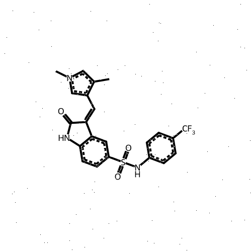 Cc1cn(C)cc1C=C1C(=O)Nc2ccc(S(=O)(=O)Nc3ccc(C(F)(F)F)cc3)cc21